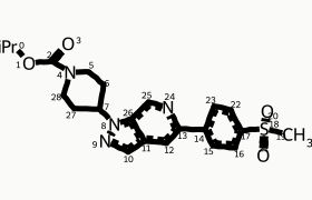 CC(C)OC(=O)N1CCC(n2ncc3cc(-c4ccc(S(C)(=O)=O)cc4)ncc32)CC1